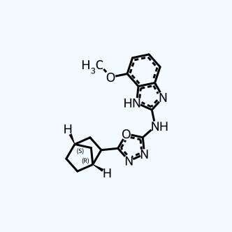 COc1cccc2nc(Nc3nnc(C4C[C@H]5CC[C@@H]4C5)o3)[nH]c12